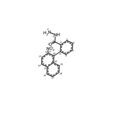 NNC(=O)c1ccccc1-c1c([N+](=O)[O-])ccc2ccccc12